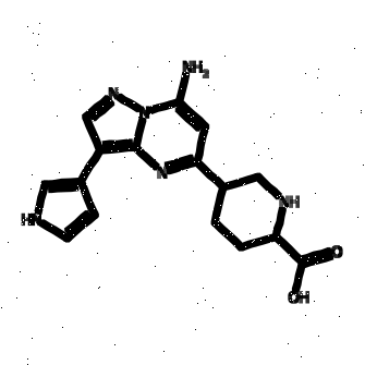 Nc1cc(C2CCC(C(=O)O)NC2)nc2c(-c3cc[nH]c3)cnn12